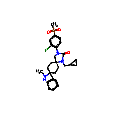 CN[C@]1(c2ccccc2)CC[C@]2(CC1)CN(c1ccc(S(C)(=O)=O)cc1F)C(=O)N2CC1CC1